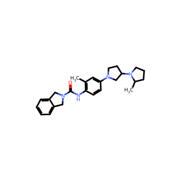 Cc1cc(N2CCC(N3CCCC3C)C2)ccc1NC(=O)N1Cc2ccccc2C1